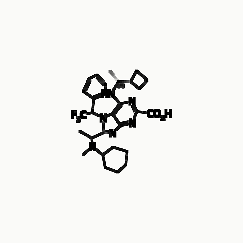 CC(c1nc2nc(C(=O)O)nc(N[C@H](C)C3CCC3)c2n1C(c1ccccc1)C(F)(F)F)N(C)C1CCCCC1